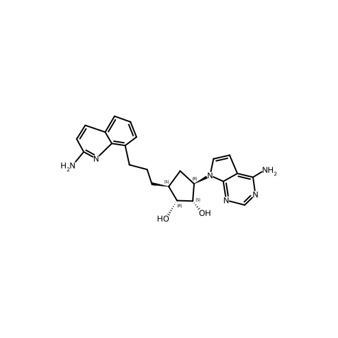 Nc1ccc2cccc(CCC[C@H]3C[C@@H](n4ccc5c(N)ncnc54)[C@H](O)[C@@H]3O)c2n1